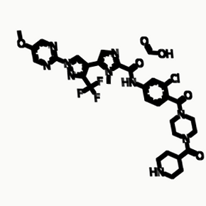 COc1cnc(-n2cc(-c3cnc(C(=O)Nc4ccc(C(=O)N5CCN(C(=O)C6CCNCC6)CC5)c(Cl)c4)n3C)c(C(F)(F)F)n2)nc1.O=CO